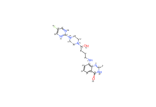 Cc1nc2c(NCCCC(O)N3CCN(c4ncc(F)cn4)CC3)cccc2c(=O)[nH]1